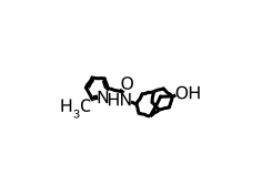 Cc1cccc(C(=O)NC2CC3CC4CC(O)(C3)CC4C2)n1